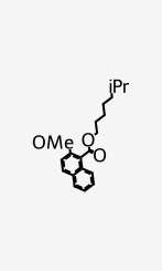 COc1ccc2ccccc2c1C(=O)OCCCCCC(C)C